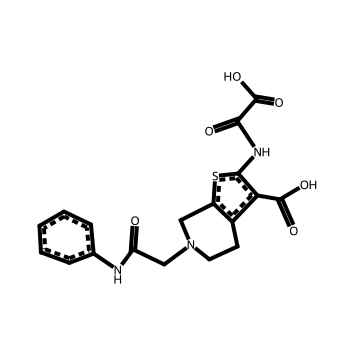 O=C(CN1CCc2c(sc(NC(=O)C(=O)O)c2C(=O)O)C1)Nc1ccccc1